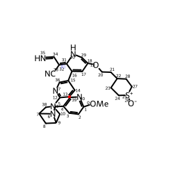 COc1ccc(CN2C3CC2CN(c2ccc(C4=CC(OCCC5CC[S+]([O-])CC5)=CN/C4=C(/C#N)C=N)cn2)C3)cn1